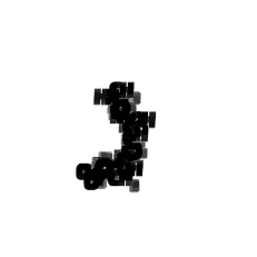 CNc1ccc(C(O)CNCC2CCCN2C[C@H](O)c2ccc3c(c2C)COC3=O)nc1